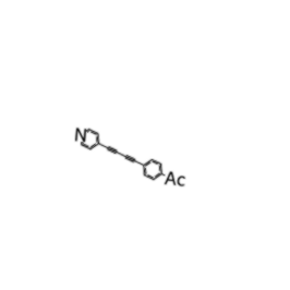 CC(=O)c1ccc(C#CC#Cc2ccncc2)cc1